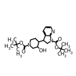 CC(C)(C)OC(=O)N1CCC(C2CN(C(=O)OC(C)(C)C)c3ncccc32)C(O)C1